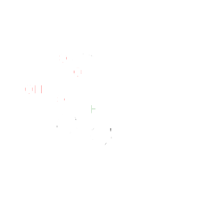 C=C(C)C(=O)OCCOc1cc(-c2ccc(C3CCC(C4CCCCC4)CC3)cc2F)ccc1CCCO